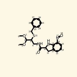 COC(OC)C(CNC(=O)C1Cc2cccc(N=O)c2N1)SCc1ccccc1